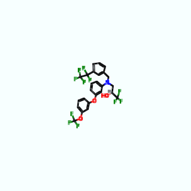 O[C@H](CN(Cc1cccc(C(F)(F)C(F)(F)F)c1)c1cccc(Oc2cccc(OC(F)(F)F)c2)c1)C(F)(F)F